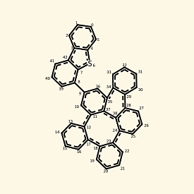 c1ccc2c(c1)sc1c(-c3cc4c5ccccc5c5ccccc5c5cccc6c7ccccc7c(c3)c4c56)cccc12